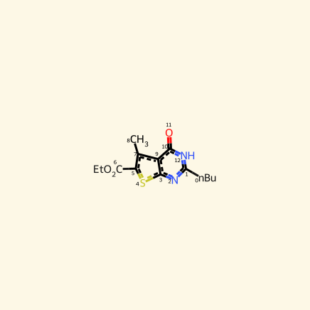 CCCCc1nc2sc(C(=O)OCC)c(C)c2c(=O)[nH]1